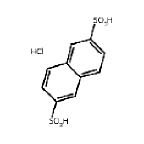 Cl.O=S(=O)(O)c1ccc2cc(S(=O)(=O)O)ccc2c1